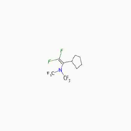 FC(F)=C(C1CCCC1)N(C(F)(F)F)C(F)(F)F